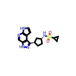 O=S(=O)(N[C@@H]1CC[C@@H](c2n[nH]c3cnc4[nH]ccc4c23)C1)C1CC1